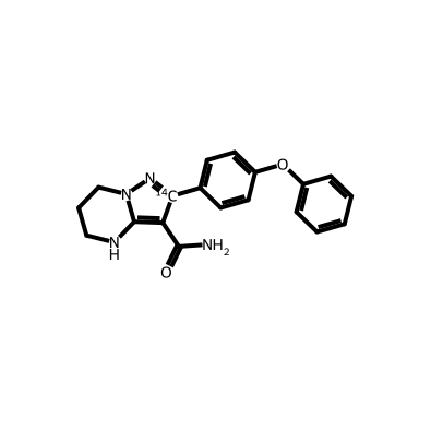 NC(=O)c1c2n(n[14c]1-c1ccc(Oc3ccccc3)cc1)CCCN2